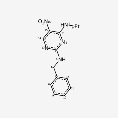 [CH2]CNc1nc(NCc2ccccc2)ncc1[N+](=O)[O-]